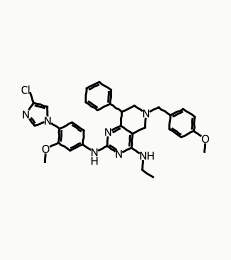 CCNc1nc(Nc2ccc(-n3cnc(Cl)c3)c(OC)c2)nc2c1CN(Cc1ccc(OC)cc1)CC2c1ccccc1